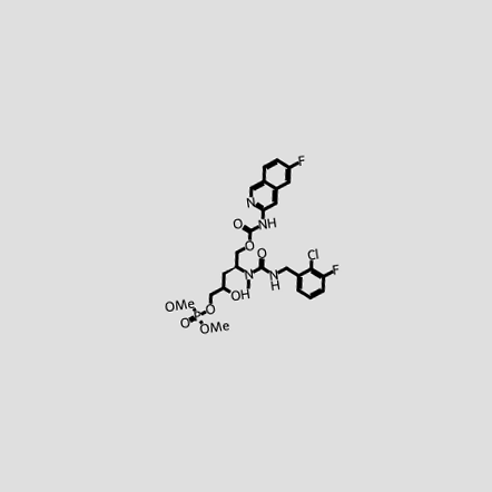 COP(=O)(OC)OCC(O)C[C@@H](COC(=O)Nc1cc2cc(F)ccc2cn1)N(C)C(=O)NCc1cccc(F)c1Cl